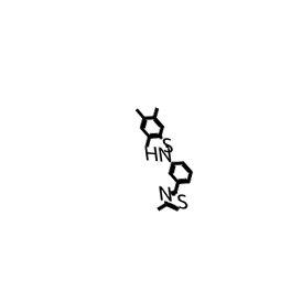 Cc1csc(-c2cccc(NSc3cc(C)c(C)cc3C)c2)n1